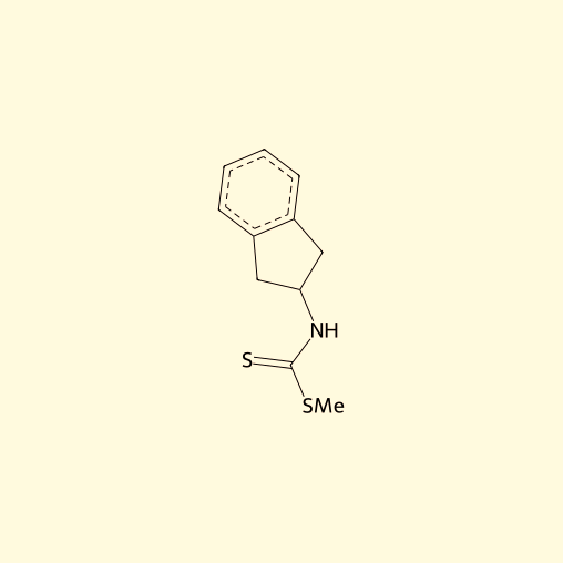 CSC(=S)NC1Cc2ccccc2C1